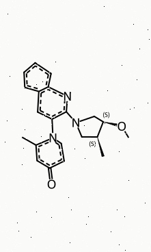 CO[C@@H]1CN(c2nc3ccccc3cc2-n2ccc(=O)cc2C)C[C@@H]1C